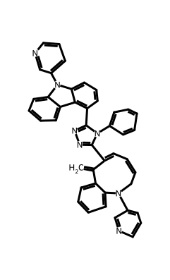 C=C1/C(c2nnc(-c3cccc4c3c3ccccc3n4-c3cccnc3)n2-c2ccccc2)=C\C=C/CN(c2cccnc2)c2ccccc21